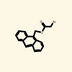 CC(=O)CC(=O)OCc1c2ccccc2cc2ccccc12